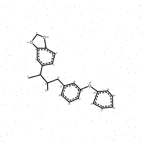 C[C](c1ccc2c(c1)OCO2)C(C)Cc1cccc(Oc2ccccc2)c1